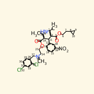 CC1=C(C(=O)OCCC2CC2)C(c2cccc([N+](=O)[O-])c2)C(C(=O)OCCN(C)Cc2ccc(Cl)cc2Cl)=C(C)N1